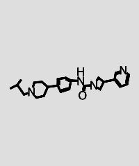 CC(C)CN1CCC(c2ccc(NC(=O)N3CC(c4cccnc4)C3)cc2)CC1